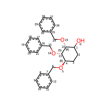 OC1CC[C@@H](OCc2ccccc2)[C@H](OCc2ccccc2)[C@@H]1OCc1ccccc1